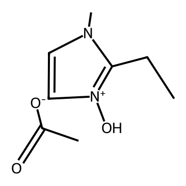 CC(=O)[O-].CCc1n(C)cc[n+]1O